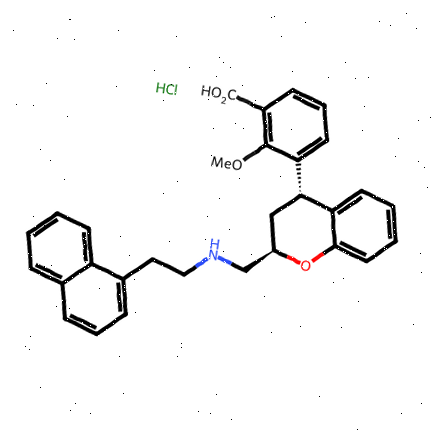 COc1c(C(=O)O)cccc1[C@H]1C[C@H](CNCCc2cccc3ccccc23)Oc2ccccc21.Cl